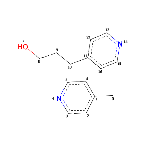 Cc1ccncc1.OCCCc1ccncc1